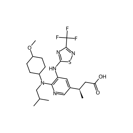 COC1CCC(N(CC(C)C)c2ncc([C@H](C)CC(=O)O)cc2Nc2nc(C(F)(F)F)ns2)CC1